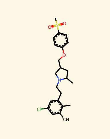 Cc1c(C#N)cc(Cl)cc1CCN1CC(COc2ccc(S(C)(=O)=O)cc2)CC1C